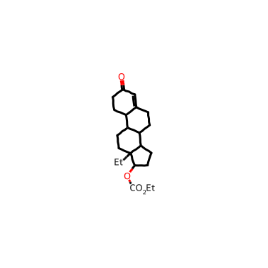 CCOC(=O)OC1CCC2C3CCC4=CC(=O)CCC4C3CCC12CC